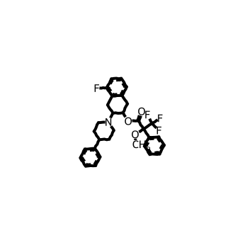 COC(C(=O)OC1Cc2cccc(F)c2CC1N1CCC(c2ccccc2)CC1)(c1ccccc1)C(F)(F)F